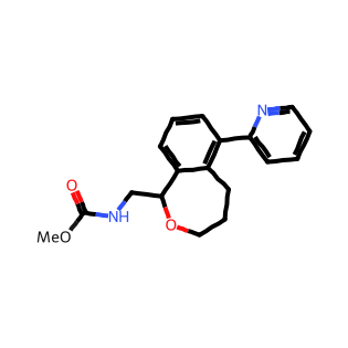 COC(=O)NCC1OCCCc2c(-c3ccccn3)cccc21